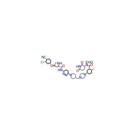 Cc1ccc(N2CCN(CC3CCN(c4ccc(NC(=O)[C@@H]5C[C@@H](Oc6ccc(C#N)c(Cl)c6)CN5)nn4)CC3)CC2)cc1C(=O)N(C=O)C1CCC(=O)NC1=O